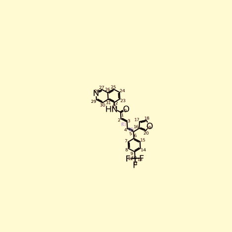 O=C(/C=C/C=C(/c1ccc(C(F)(F)F)cc1)c1ccoc1)Nc1cccc2cnccc12